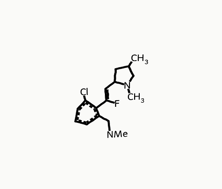 CNCc1cccc(Cl)c1/C(F)=C/C1CC(C)CN1C